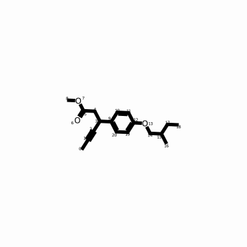 CC#CC(CC(=O)OC)c1ccc(OCC(C)CC)cc1